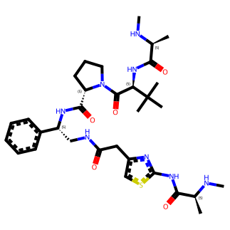 CN[C@@H](C)C(=O)Nc1nc(CC(=O)NC[C@@H](NC(=O)[C@@H]2CCCN2C(=O)[C@@H](NC(=O)[C@H](C)NC)C(C)(C)C)c2ccccc2)cs1